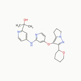 CC(C)(O)c1cc(Nc2cc(Oc3c(C4CCCCO4)nn4c3CCC4)ccn2)ccn1